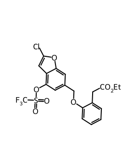 CCOC(=O)Cc1ccccc1OCc1cc(OS(=O)(=O)C(F)(F)F)c2cc(Cl)oc2c1